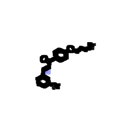 O=C(/C=C/c1cccc(Br)c1)c1ccc(OCCCBr)cc1